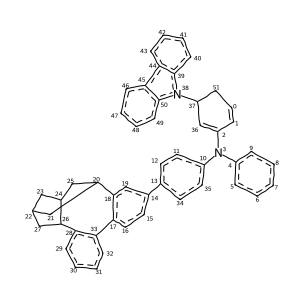 C1=CC(N(c2ccccc2)c2ccc(-c3ccc4c(c3)C3CC5CC(C3)C(C5)c3ccccc3-4)cc2)=CC(n2c3ccccc3c3ccccc32)C1